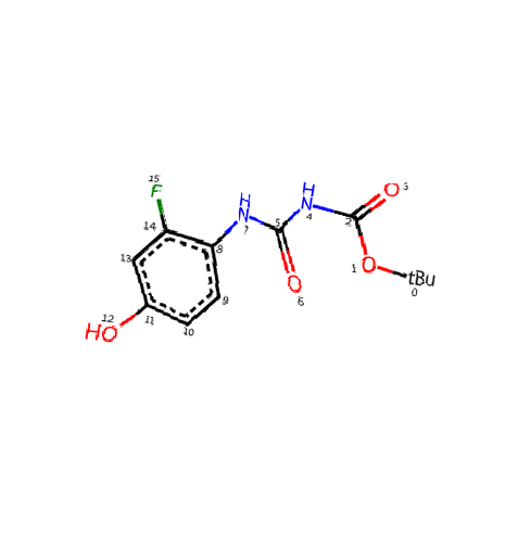 CC(C)(C)OC(=O)NC(=O)Nc1ccc(O)cc1F